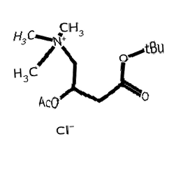 CC(=O)OC(CC(=O)OC(C)(C)C)C[N+](C)(C)C.[Cl-]